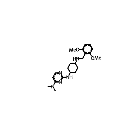 COc1cccc(OC)c1CNC1CCC(Nc2nccc(N(C)C)n2)CC1